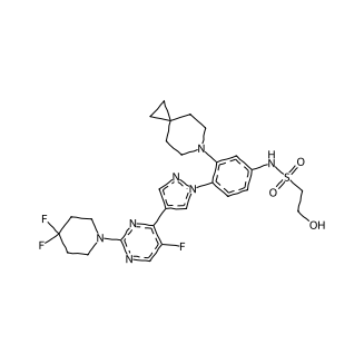 O=S(=O)(CCO)Nc1ccc(-n2cc(-c3nc(N4CCC(F)(F)CC4)ncc3F)cn2)c(N2CCC3(CC2)CC3)c1